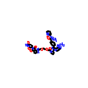 Nc1nccn2c([C@@H]3CCCN3C(=O)COCCOCCNc3cccc4c3C(=O)N(C3CCC(=O)NC3=O)C4=O)nc(-c3ccc(C(=O)Nc4ccccn4)cc3)c12